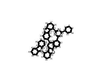 c1ccc(-c2nc(-c3ccccc3)nc(-c3cccc4sc5ccc(-c6ccc7oc8cccc(-n9c%10ccccc%10c%10ccccc%109)c8c7c6)cc5c34)n2)cc1